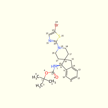 CC(C)(C)OC(=O)N[C@@H]1c2ccccc2CC12CCN(c1ncc(Br)s1)CC2